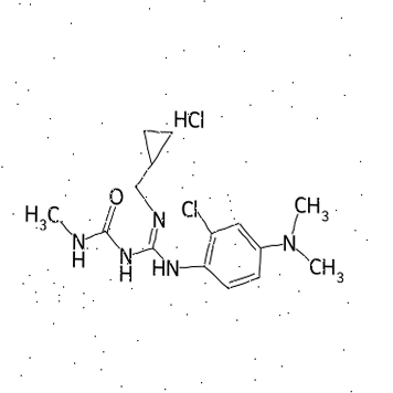 CNC(=O)NC(=NCC1CC1)Nc1ccc(N(C)C)cc1Cl.Cl